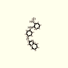 CCNc1cccnc1Nc1ccc(Oc2cn3ccccc3n2)cc1